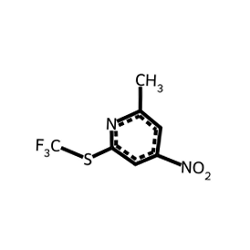 Cc1cc([N+](=O)[O-])cc(SC(F)(F)F)n1